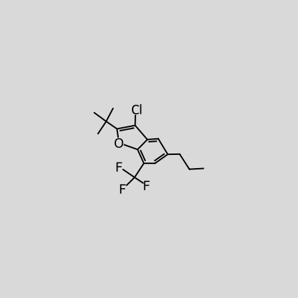 CCCc1cc(C(F)(F)F)c2oc(C(C)(C)C)c(Cl)c2c1